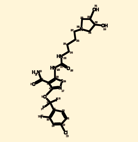 NC(=O)c1c(OC(F)(F)c2ccc(Cl)cc2F)nsc1NC(=O)NCCCCN1CC(O)C(O)C1